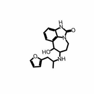 CC(Cc1ccco1)NC1CCn2c(=O)[nH]c3cccc(c32)C1O